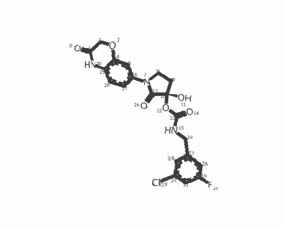 O=C1COc2cc(N3CC[C@](O)(OC(=O)NCc4cc(F)cc(Cl)c4)C3=O)ccc2N1